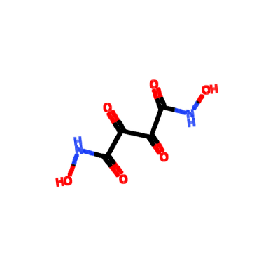 O=C(NO)C(=O)C(=O)C(=O)NO